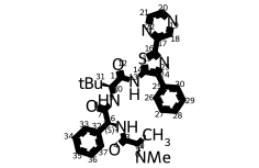 CN[C@@H](C)C(=O)N[C@H](C(=O)N[C@H](C(=O)Nc1sc(-c2cnccn2)nc1-c1ccccc1)C(C)(C)C)c1ccccc1